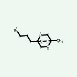 CC12COC(CCCBr)(CO1)OC2